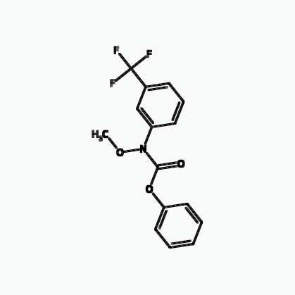 CON(C(=O)Oc1ccccc1)c1cccc(C(F)(F)F)c1